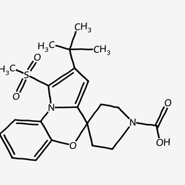 CC(C)(C)c1cc2n(c1S(C)(=O)=O)-c1ccccc1OC21CCN(C(=O)O)CC1